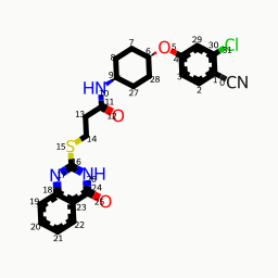 N#Cc1ccc(O[C@H]2CC[C@H](NC(=O)CCSc3nc4ccccc4c(=O)[nH]3)CC2)cc1Cl